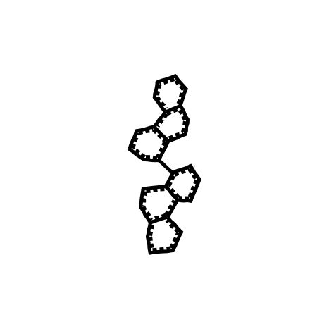 [c]1ccc2c(ccc3ccccc32)c1-c1cccc2c1ccc1ccccc12